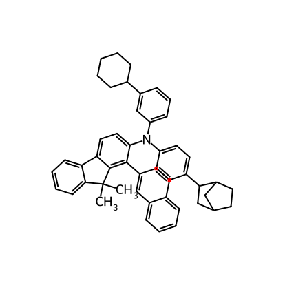 CC1(C)c2ccccc2-c2ccc(N(c3ccc(C4CC5CCC4C5)cc3)c3cccc(C4CCCCC4)c3)c(-c3ccc4ccccc4c3)c21